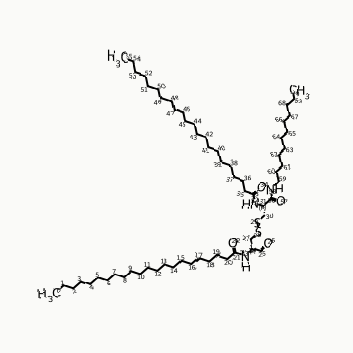 CCCCCCCCCCCCCCCCCCCCCC(=O)N[C@H](C=O)CSSC[C@H](NC(=O)CCCCCCCCCCCCCCCCCCCCC)C(=O)NCCCCCCCCCCCC